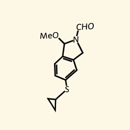 COC1c2ccc(SC3CC3)cc2CN1C=O